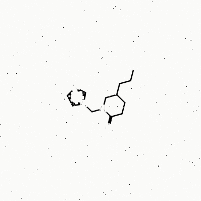 CCCC1CCC(=O)N(Cn2ccnc2)C1